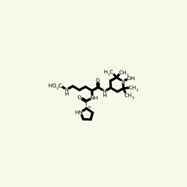 CC1(C)CC(NC(=O)C(CCCNC(=O)O)NC(=O)[C@@H]2CCCN2)CC(C)(C)N1O